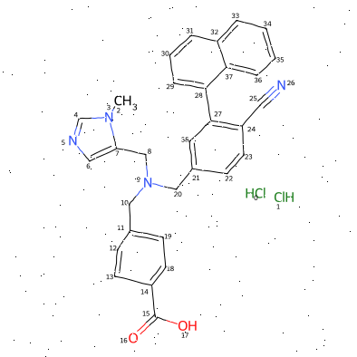 Cl.Cl.Cn1cncc1CN(Cc1ccc(C(=O)O)cc1)Cc1ccc(C#N)c(-c2cccc3ccccc23)c1